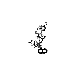 CC(C)OC(=O)[C@H](C)NP(=S)(OC[C@@]1(C(F)F)O[C@@H](n2ccc(=O)[nH]c2=O)[C@H](O)C1(F)F)Oc1cccc2ccccc12